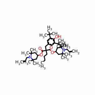 C=CCN1C(C)(C)CC(OC(=O)C(CCCC)(Cc2cc(C(C)(C)C)c(O)c(C(C)(C)C)c2)C(=O)OC2CC(C)(C)N(CC=C)C(C)(C)C2)CC1(C)C